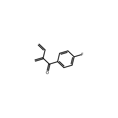 C=CC(=C)C(=O)c1ccc(F)cc1